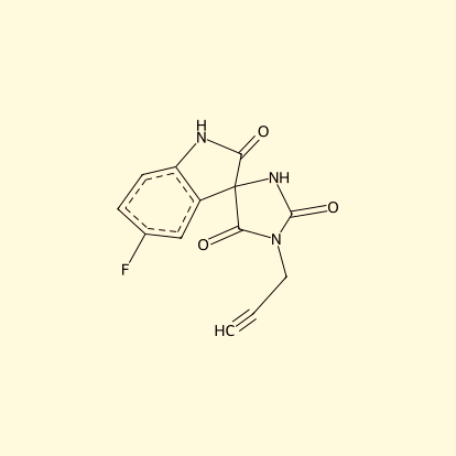 C#CCN1C(=O)NC2(C(=O)Nc3ccc(F)cc32)C1=O